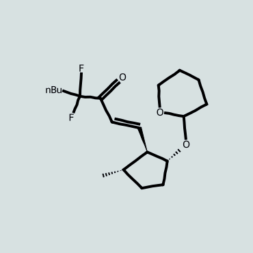 CCCCC(F)(F)C(=O)/C=C/[C@@H]1[C@@H](C)CC[C@H]1OC1CCCCO1